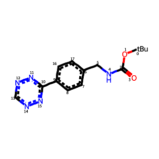 CC(C)(C)OC(=O)NCc1ccc(-c2nncnn2)cc1